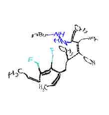 C=C(NNCCCC)/C(=C(/C#N)C(C)CC(=C/C)/C(F)=C(F)\C=C/C)C(C)C